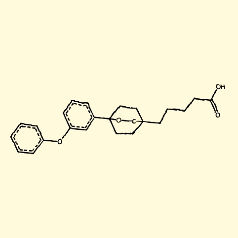 O=C(O)CCCCC12CCC(c3cccc(Oc4ccccc4)c3)(CC1)OC2